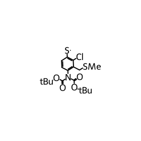 CSCc1c(N(C(=O)OC(C)(C)C)C(=O)OC(C)(C)C)ccc([S])c1Cl